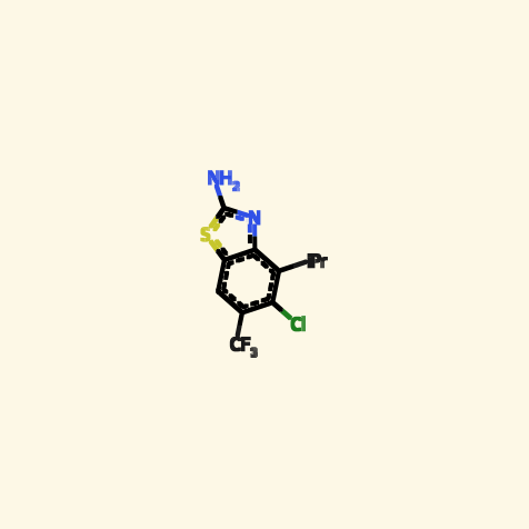 CC(C)c1c(Cl)c(C(F)(F)F)cc2sc(N)nc12